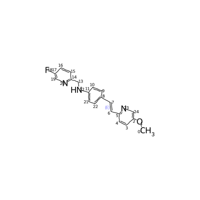 COc1ccc(/C=C/c2ccc(NCc3ccc(F)cn3)cc2)nc1